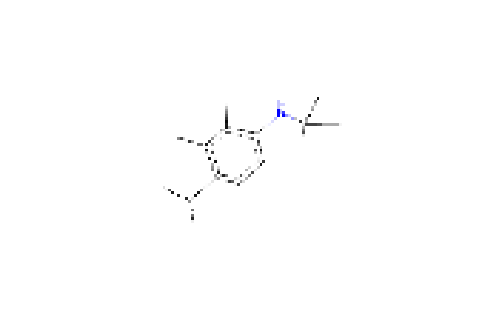 Cc1c(NC(C)(C)C)ccc(C(C)C)c1C